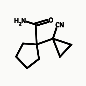 N#CC1(C2(C(N)=O)CCCC2)CC1